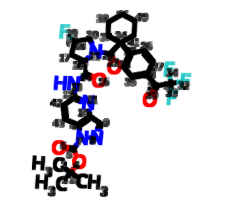 CC(C)(C)OC(=O)n1ncc2nc(NC(=O)[C@H]3C[C@@H](F)CN3C(=O)C3(c4ccc(C(=O)C(F)(F)F)cc4)CCCCC3)ccc21